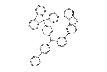 C1=C(N(c2ccc(-c3ccccc3)cc2)c2cccc(-c3ccc4oc5ccccc5c4c3)c2)CCC(C2(c3ccccc3)c3ccccc3-c3ccccc32)=C1